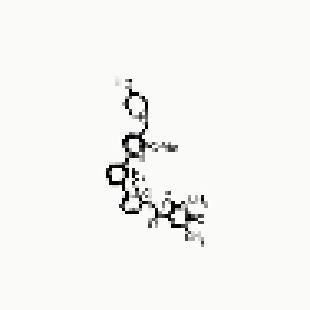 COc1nc(-c2cccc(C3=CC=CC(NC(=O)c4cn(C)c(=O)n(C)c4=O)C3(C)Cl)c2)ccc1CN1CCC(O)CC1